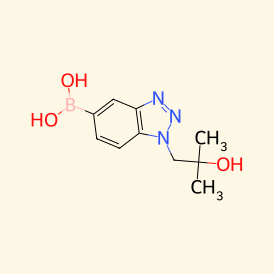 CC(C)(O)Cn1nnc2cc(B(O)O)ccc21